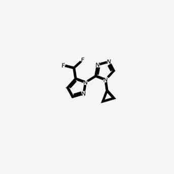 FC(F)c1[c]cnn1-c1nncn1C1CC1